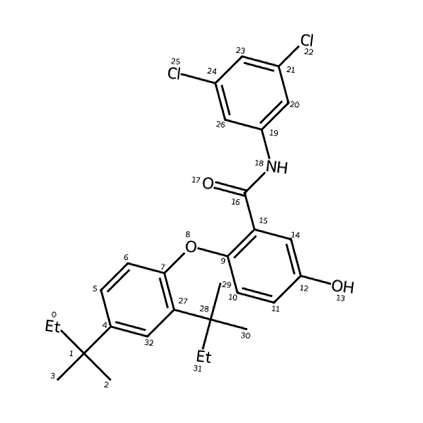 CCC(C)(C)c1ccc(Oc2ccc(O)cc2C(=O)Nc2cc(Cl)cc(Cl)c2)c(C(C)(C)CC)c1